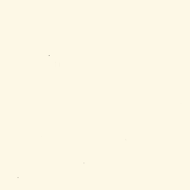 CC(C)(C)c1cc(-c2cccc3c2C=C[CH]3[Hf]([CH3])([CH3])([CH]2C=Cc3c(-c4cc(C(C)(C)C)cc(C(C)(C)C)c4)cccc32)=[Si](C2CCCC2)C2CCCC2)cc(C(C)(C)C)c1